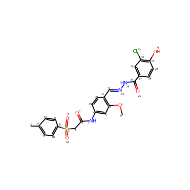 COc1cc(NC(=O)CS(=O)(=O)c2ccc(C)cc2)ccc1C=NNC(=O)c1ccc(O)c(Cl)c1